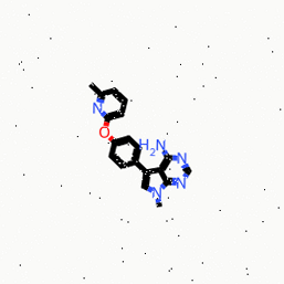 Cc1cccc(Oc2ccc(-c3cn(C)c4ncnc(N)c34)cc2)n1